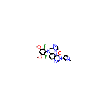 COc1cc(OC)c(F)c(N(Cc2ncc[nH]2)c2ccc3ncn(-c4ccn(C)c4)c(=O)c3c2)c1F